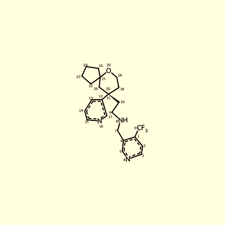 FC(F)(F)c1ccncc1CNCC[C@]1(c2cccnc2)CCOC2(CCCC2)C1